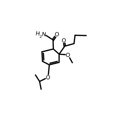 CCCC(=O)C1(OC)C=C(OC(C)C)C=CC1C(N)=O